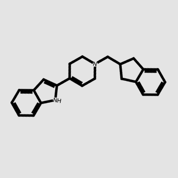 C1=C(c2cc3ccccc3[nH]2)CCN(CC2Cc3ccccc3C2)C1